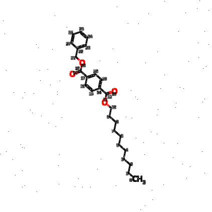 CCCCCCCCCCCOC(=O)c1ccc(C(=O)OCc2ccccc2)cc1